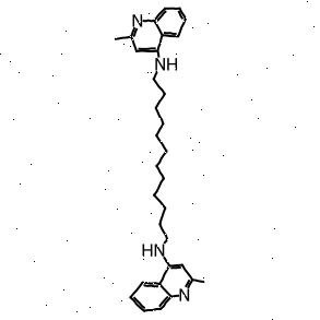 Cc1cc(NCCCCCCCCCCCCNc2cc(C)nc3ccccc23)c2ccccc2n1